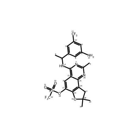 Cc1nc(NC(C)c2cc(N)cc(C(F)(F)F)c2)c2cc(OS(=O)(=O)C(F)(F)F)c3c(c2n1)CC(C)(C)O3